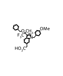 COc1ccc(Cn2nc(C(C)(OCc3ccccc3)C(F)(F)F)c3ccc(CC(=O)O)cc32)cc1